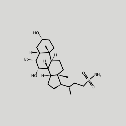 CC[C@H]1[C@@H](O)[C@@H]2[C@H](CC[C@]3(C)[C@@H]([C@H](C)CCS(N)(=O)=O)CC[C@@H]23)[C@@]2(C)CC[C@@H](O)C[C@@H]12